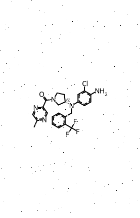 Cc1cnc(C(=O)N2CC[C@H](N(Cc3ccccc3C(F)(F)F)c3ccc(N)c(Cl)c3)C2)cn1